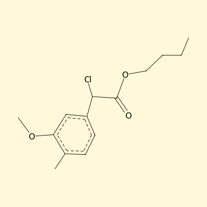 CCCCOC(=O)C(Cl)c1ccc(C)c(OC)c1